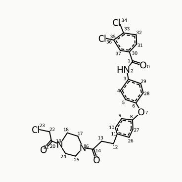 O=C(Nc1ccc(Oc2ccc(CCC(=O)N3CCN(C(=O)CCl)CC3)cc2)cc1)c1ccc(Cl)c(Cl)c1